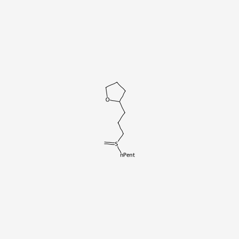 C=S(CCCCC)CCCC1CCCO1